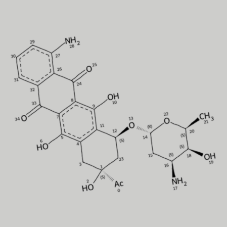 CC(=O)[C@]1(O)Cc2c(O)c3c(c(O)c2[C@@H](O[C@H]2C[C@H](N)[C@H](O)[C@H](C)O2)C1)C(=O)c1c(N)cccc1C3=O